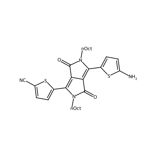 CCCCCCCCN1C(=O)C2=C(c3ccc(C#N)s3)N(CCCCCCCC)C(=O)C2=C1c1ccc(N)s1